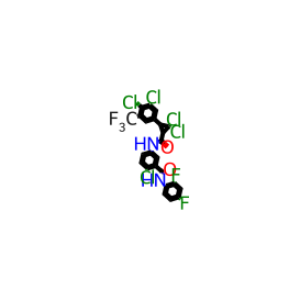 O=C(Nc1ccc(F)cc1F)c1cc(NC(=O)C2C(c3cc(Cl)c(Cl)c(C(F)(F)F)c3)C2(Cl)Cl)ccc1Cl